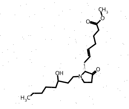 CCCCCC(O)CCN1CCC(=O)[C@H]1C/C=C/CCCC(=O)OC